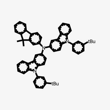 CC(C)(C)c1cccc(-n2c3ccccc3c3cc(N(c4ccc5c(c4)C(C)(C)c4ccccc4-5)c4ccc5c(c4)c4ccccc4n5-c4cccc(C(C)(C)C)c4)ccc32)c1